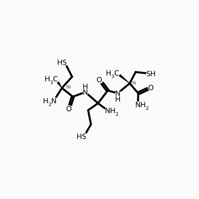 C[C@](CS)(NC(=O)C(N)(CCS)NC(=O)[C@](C)(N)CS)C(N)=O